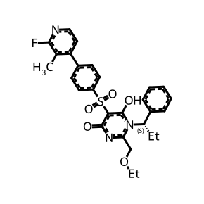 CCOCc1nc(=O)c(S(=O)(=O)c2ccc(-c3ccnc(F)c3C)cc2)c(O)n1[C@@H](CC)c1ccccc1